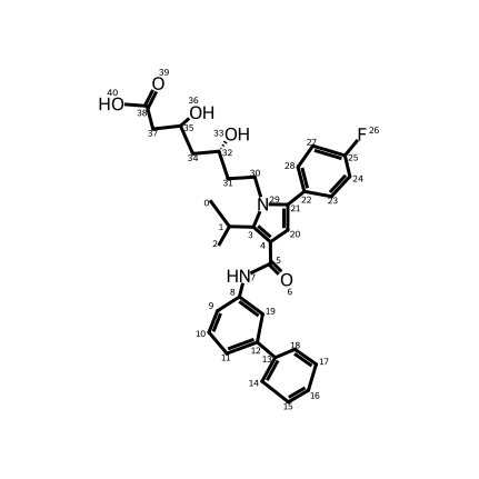 CC(C)c1c(C(=O)Nc2cccc(-c3ccccc3)c2)cc(-c2ccc(F)cc2)n1CC[C@@H](O)CC(O)CC(=O)O